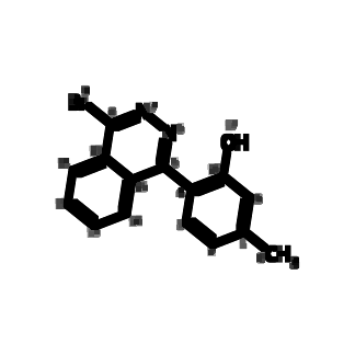 Cc1ccc(-c2nnc(Br)c3ccccc23)c(O)c1